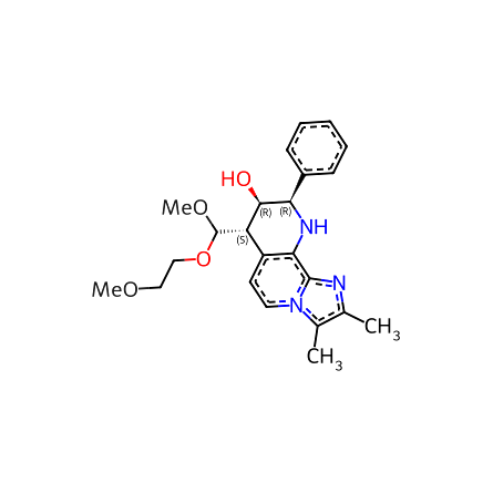 COCCOC(OC)[C@H]1c2ccn3c(C)c(C)nc3c2N[C@H](c2ccccc2)[C@@H]1O